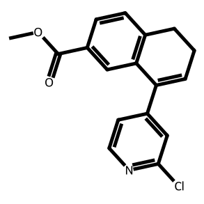 COC(=O)c1ccc2c(c1)C(c1ccnc(Cl)c1)=CCC2